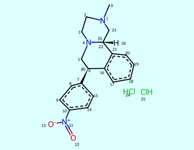 CN1CCN2C[C@H](c3ccc([N+](=O)[O-])cc3)c3ccccc3[C@H]2C1.Cl.Cl